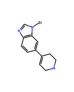 CCn1cnc2ccc(C3=CC[N]CC3)cc21